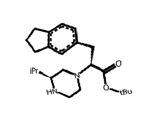 CC(C)[C@H]1CN([C@@H](Cc2ccc3c(c2)CCC3)C(=O)OC(C)(C)C)CCN1